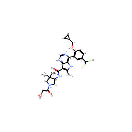 Cc1[nH]c2c(-c3cc(C(F)F)ccc3OCC3CC3)ncnc2c1C(=O)NC1CN(C(=O)CO)CC1(C)C